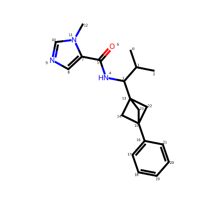 CC(C)C(NC(=O)c1cncn1C)C12CC(c3ccccc3)(C1)C2